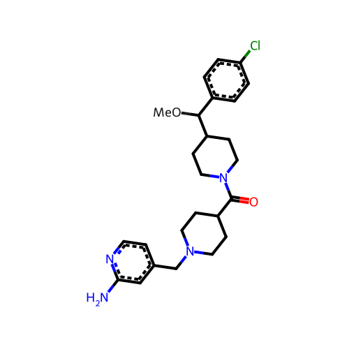 COC(c1ccc(Cl)cc1)C1CCN(C(=O)C2CCN(Cc3ccnc(N)c3)CC2)CC1